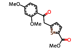 COC(=O)c1ccc(CC(=O)c2ccc(OC)cc2OC)s1